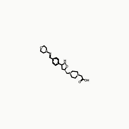 O=C(O)CN1CCN(C[C@H]2CC(c3ccc(C=NN4CCOCC4)cc3)NO2)CC1